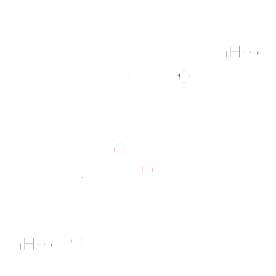 CCCCCCOc1ccc(C(=O)Oc2ccc(COC(C)CCCCCC)cc2)cc1